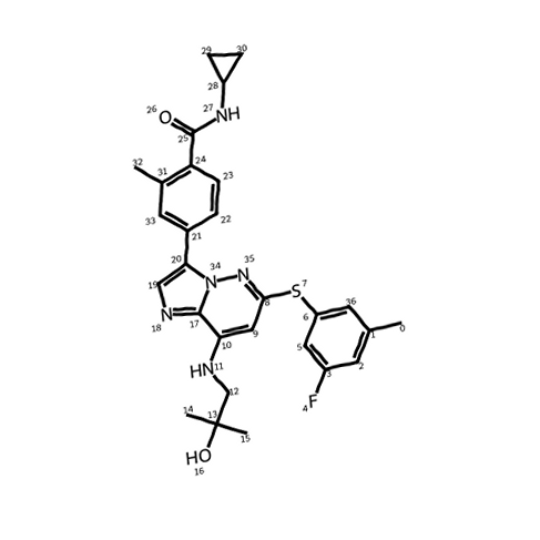 Cc1cc(F)cc(Sc2cc(NCC(C)(C)O)c3ncc(-c4ccc(C(=O)NC5CC5)c(C)c4)n3n2)c1